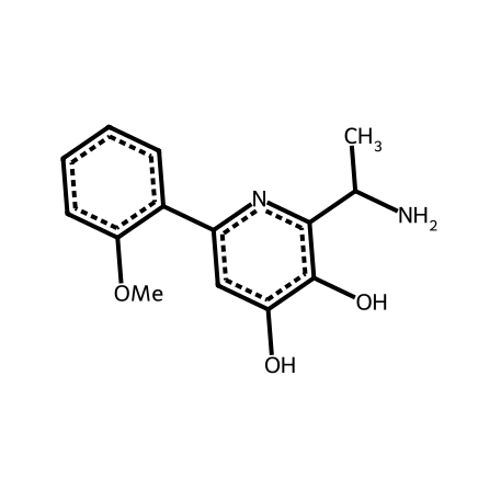 COc1ccccc1-c1cc(O)c(O)c(C(C)N)n1